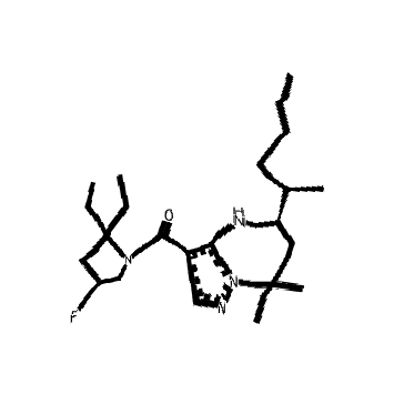 CCCCC(C)[C@H]1CC(C)(C)n2ncc(C(=O)N3CC(F)CC3(CC)CC)c2N1